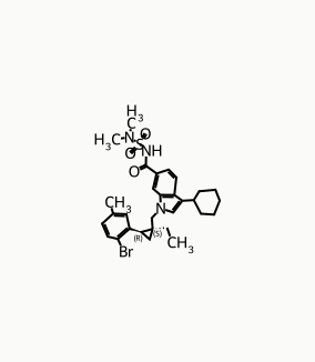 CC[C@]1(Cn2cc(C3CCCCC3)c3ccc(C(=O)NS(=O)(=O)N(C)C)cc32)C[C@H]1c1cc(C)ccc1Br